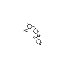 N#Cc1cc(F)cc(Cc2ccc(NC(=O)c3ccnnc3)nc2)c1